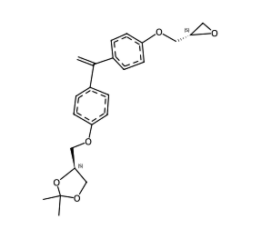 C=C(c1ccc(OC[C@@H]2CO2)cc1)c1ccc(OC[C@H]2COC(C)(C)O2)cc1